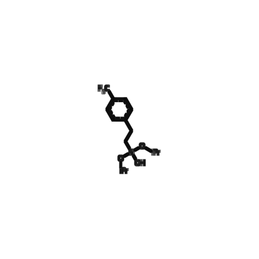 CC(C)O[Si](O)(CCc1ccc(C(F)(F)F)cc1)OC(C)C